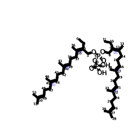 CC/C(COP(=O)(OC/C(CC)=C(/C)CC/C=C(\C)CC/C=C(\C)CCC=C(C)C)OP(=O)(O)O)=C(\C)CC/C=C(\C)CC/C=C(\C)CCC=C(C)C